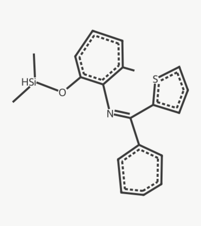 Cc1cccc(O[SiH](C)C)c1N=C(c1ccccc1)c1cccs1